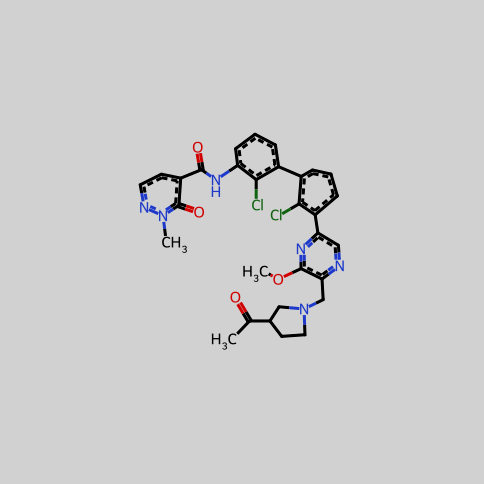 COc1nc(-c2cccc(-c3cccc(NC(=O)c4ccnn(C)c4=O)c3Cl)c2Cl)cnc1CN1CCC(C(C)=O)C1